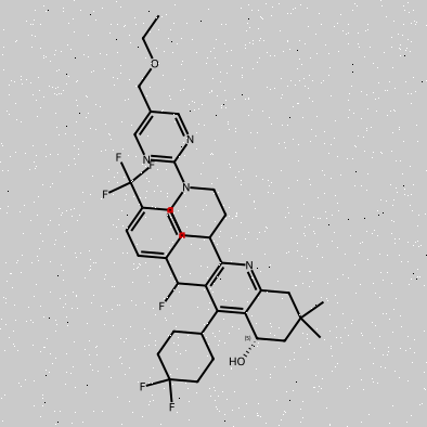 CCOCc1cnc(N2CCC(c3nc4c(c(C5CCC(F)(F)CC5)c3C(F)c3ccc(C(F)(F)F)cc3)[C@@H](O)CC(C)(C)C4)CC2)nc1